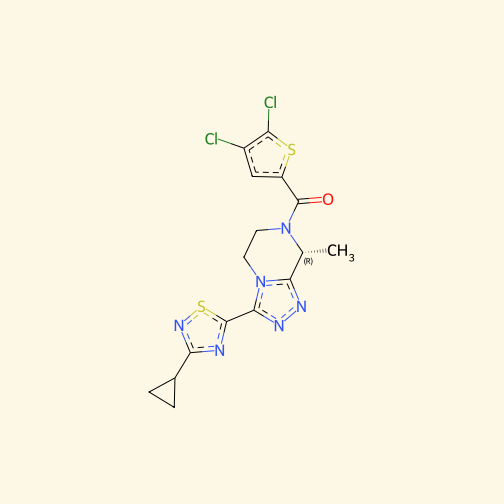 C[C@@H]1c2nnc(-c3nc(C4CC4)ns3)n2CCN1C(=O)c1cc(Cl)c(Cl)s1